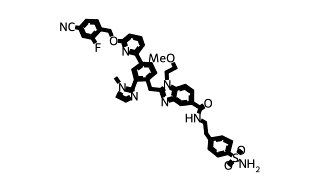 COCCn1c(Cc2ccc(-c3cccc(OCc4ccc(C#N)cc4F)n3)cc2-c2nccn2C)nc2cc(C(=O)NCCc3ccc(S(N)(=O)=O)cc3)ccc21